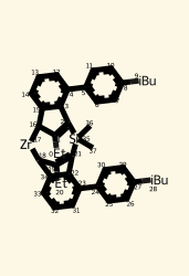 CCC1=C2c3c(-c4ccc(C(C)CC)cc4)cccc3[CH]1[Zr][CH]1C(CC)=C(c3c(-c4ccc(C(C)CC)cc4)cccc31)[Si]2(C)C